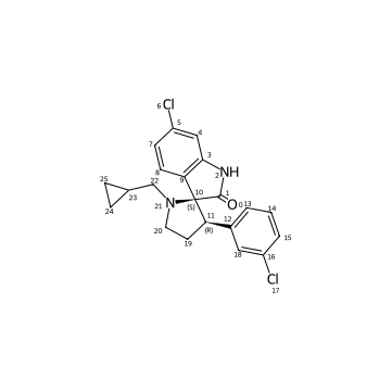 O=C1Nc2cc(Cl)ccc2[C@@]12[C@@H](c1cccc(Cl)c1)CCN2CC1CC1